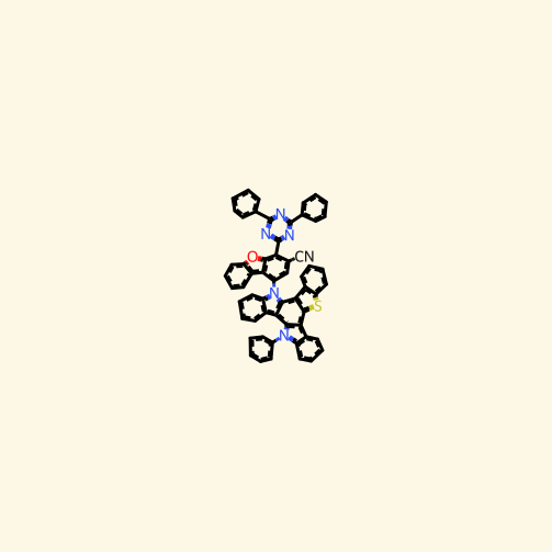 N#Cc1cc(-n2c3ccccc3c3c4c(c5ccccc5n4-c4ccccc4)c4sc5ccccc5c4c32)c2c(oc3ccccc32)c1-c1nc(-c2ccccc2)nc(-c2ccccc2)n1